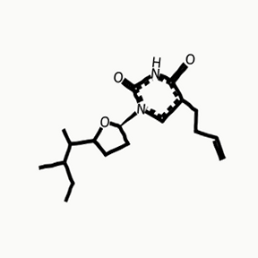 C=CCCc1cn([C@H]2CCC(C(C)C(C)CC)O2)c(=O)[nH]c1=O